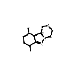 CC1CCC(C)C2C1=NN1CCOCC21